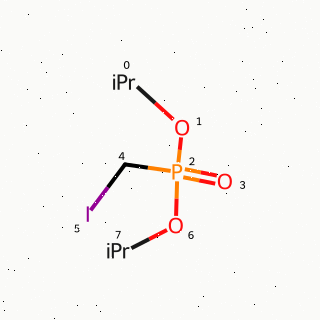 CC(C)OP(=O)(CI)OC(C)C